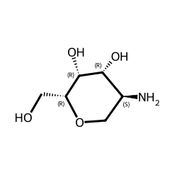 N[C@H]1CO[C@H](CO)[C@H](O)[C@@H]1O